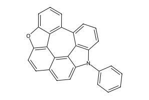 c1ccc(-n2c3cccc4c3c3c5c(ccc6oc7cccc-4c7c65)ccc32)cc1